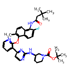 Cc1ccc2c(NC(=O)CC(C)(C)C)c(F)ccc2c1Oc1ncccc1-c1ccnc(NC2CCCN(C(=O)OC(C)(C)C)C2)n1